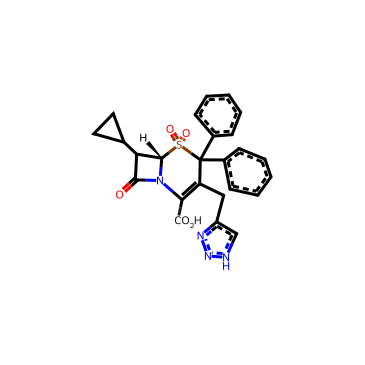 O=C(O)C1=C(Cc2c[nH]nn2)C(c2ccccc2)(c2ccccc2)S(=O)(=O)[C@H]2C(C3CC3)C(=O)N12